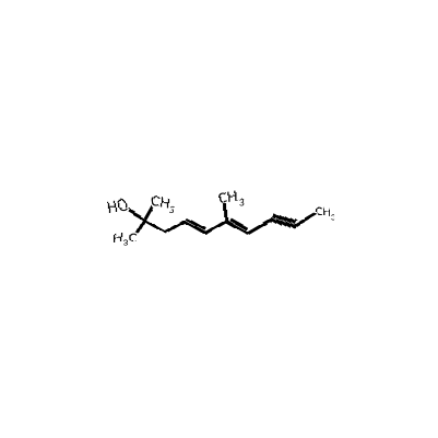 C/C=C/C=C(C)/C=C/CC(C)(C)O